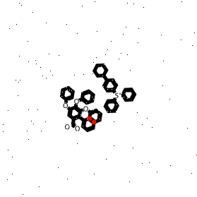 O=C([O-])c1cc(Oc2ccccc2)c(Oc2ccccc2)c(Oc2ccccc2)c1-c1ccccc1.c1ccc([S+](c2ccccc2)c2ccc(C3CCCCC3)cc2)cc1